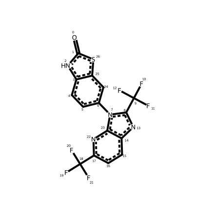 O=c1[nH]c2ccc(-n3c(C(F)(F)F)nc4ccc(C(F)(F)F)nc43)cc2s1